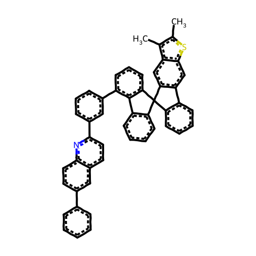 Cc1sc2cc3c(cc2c1C)C1(c2ccccc2-3)c2ccccc2-c2c(-c3cccc(-c4ccc5cc(-c6ccccc6)ccc5n4)c3)cccc21